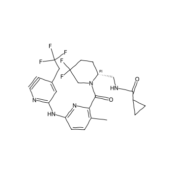 Cc1ccc(Nc2cc(CC(F)(F)F)c#cn2)nc1C(=O)N1CC(F)(F)CC[C@@H]1CNC(=O)C1CC1